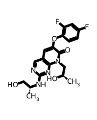 C[C@H](CO)Nc1ncc2cc(Oc3ccc(F)cc3F)c(=O)n(C[C@@H](C)O)c2n1